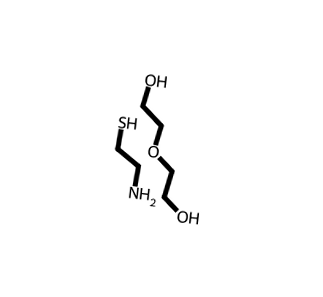 NCCS.OCCOCCO